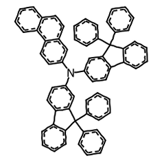 c1ccc(C2(c3ccccc3)c3ccccc3-c3ccc(N(c4ccc5c(c4)C(c4ccccc4)(c4ccccc4)c4ccccc4-5)c4ccc5c(ccc6ccccc65)c4)cc32)cc1